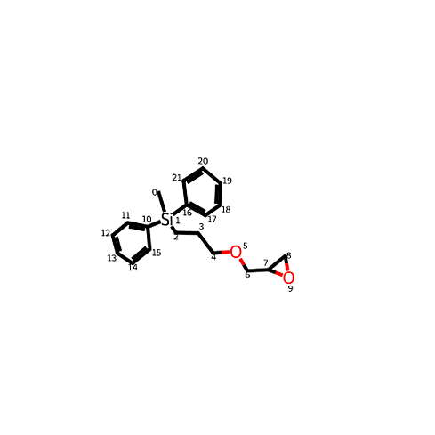 C[Si](CCCOCC1CO1)(c1ccccc1)c1ccccc1